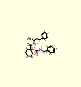 N#CC(CCc1ccccc1)NC(=O)C1(OC(=O)NCc2ccccc2)CCCCC1